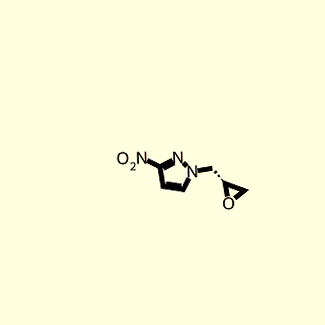 O=[N+]([O-])c1ccn(C[C@@H]2CO2)n1